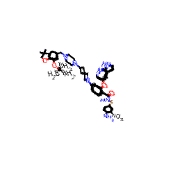 BC(B)(B)Oc1cc(CN2CCN(C3CC4(C3)CN(c3ccc(C(=O)NSc5ccc(N)c([N+](=O)[O-])c5)c(Oc5cnc6[nH]ccc6c5)c3)C4)CC2)cc2c1OCC2(C)C